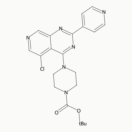 CC(C)(C)OC(=O)N1CCN(c2nc(-c3ccncc3)nc3cncc(Cl)c23)CC1